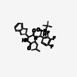 CC(C)CC1C(=O)NC(C2Cc3ccccc3C2)C(=O)N1C(C(=O)NC(C)(C)C)c1ccc(F)c(F)c1F